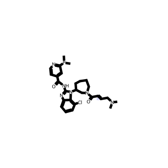 CN(C)C/C=C/C(=O)N1CCCCC(n2c(NC(=O)c3ccnc(P(C)C)c3)nc3cccc(Cl)c32)C1